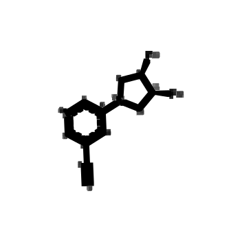 C#Cc1cncc(N2C[C@@H](F)[C@@H](F)C2)c1